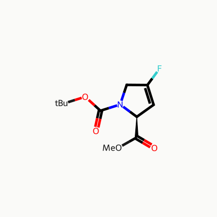 COC(=O)[C@@H]1C=C(F)CN1C(=O)OC(C)(C)C